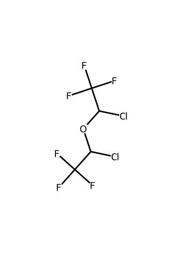 FC(F)(F)C(Cl)OC(Cl)C(F)(F)F